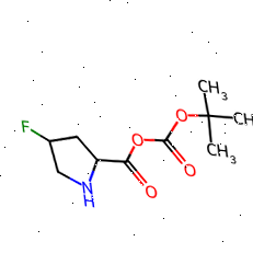 CC(C)(C)OC(=O)OC(=O)C1CC(F)CN1